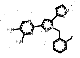 Nc1cnc(-c2cc(-c3ccon3)n(Cc3ccccc3F)n2)nc1N